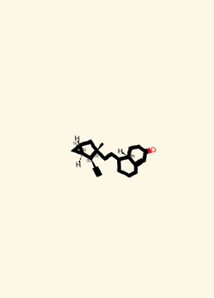 C#C[C@H]1[C@H]2C[C@H]2C[C@]1(C)CCC1CCCC2=CC(=O)CC[C@@H]21